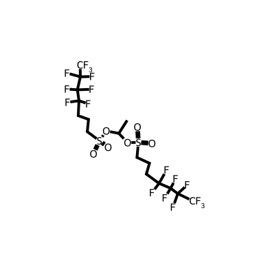 CC(OS(=O)(=O)CCCC(F)(F)C(F)(F)C(F)(F)C(F)(F)F)OS(=O)(=O)CCCC(F)(F)C(F)(F)C(F)(F)C(F)(F)F